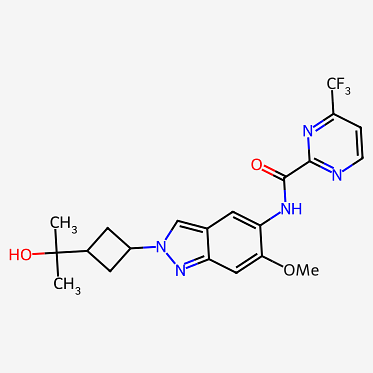 COc1cc2nn(C3CC(C(C)(C)O)C3)cc2cc1NC(=O)c1nccc(C(F)(F)F)n1